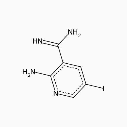 N=C(N)c1cc(I)cnc1N